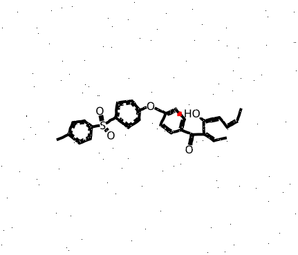 C\C=C/C=C(O)\C(=C/C)C(=O)C(/C=C\C(=C/C)Oc1ccc(S(=O)(=O)c2ccc(C)cc2)cc1)=C/C